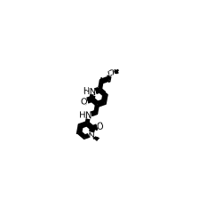 CO/C=C/c1ccc(CNc2cccn(C)c2=O)c(=O)[nH]1